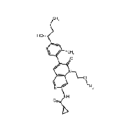 CCC[C@@H](O)c1cc(C)c(-c2cc3cnc(NC(=O)C4CC4)cc3n(CCOC)c2=O)cn1